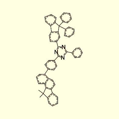 CC1(C)c2ccccc2-c2ccc3c(-c4ccc(-c5nc(-c6ccccc6)nc(-c6ccc7c(c6)C(c6ccccc6)(c6ccccc6)c6ccccc6-7)n5)cc4)cccc3c21